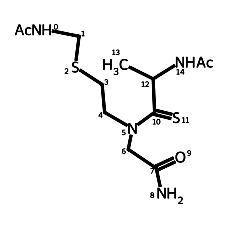 CC(=O)NCSCCN(CC(N)=O)C(=S)C(C)NC(C)=O